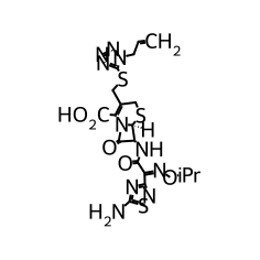 C=CCn1nnnc1SCC1=C(C(=O)O)N2C(=O)C(NC(=O)C(=NOC(C)C)c3nsc(N)n3)[C@@H]2SC1